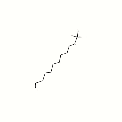 [CH2]C(C)(C)CCCCCCCCCCC